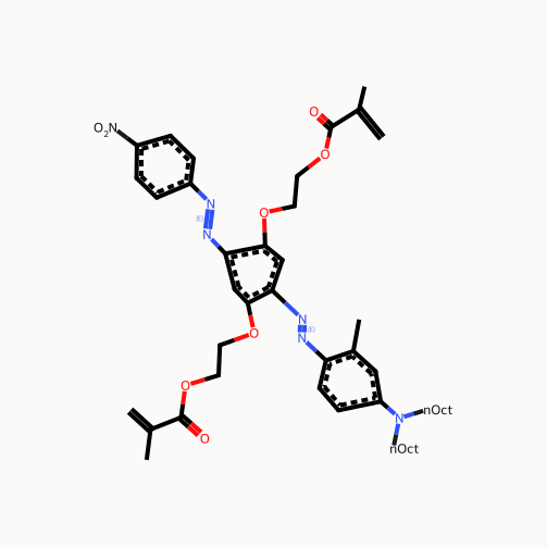 C=C(C)C(=O)OCCOc1cc(/N=N/c2ccc(N(CCCCCCCC)CCCCCCCC)cc2C)c(OCCOC(=O)C(=C)C)cc1/N=N/c1ccc([N+](=O)[O-])cc1